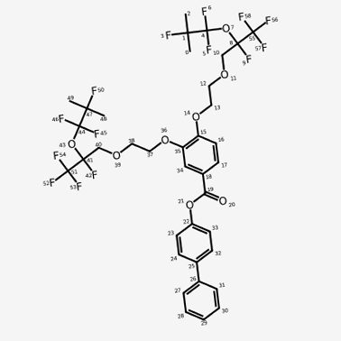 CC(C)(F)C(F)(F)OC(F)(COCCOc1ccc(C(=O)Oc2ccc(-c3ccccc3)cc2)cc1OCCOCC(F)(OC(F)(F)C(C)(C)F)C(F)(F)F)C(F)(F)F